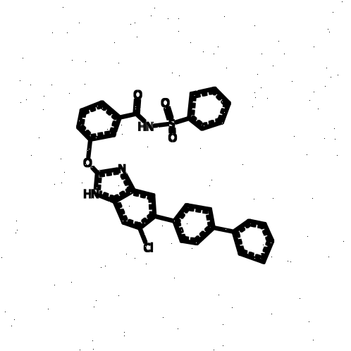 O=C(NS(=O)(=O)c1ccccc1)c1cccc(Oc2nc3cc(-c4ccc(-c5ccccc5)cc4)c(Cl)cc3[nH]2)c1